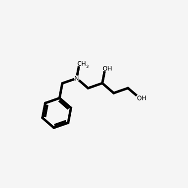 CN(Cc1ccccc1)CC(O)CCO